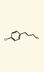 CCc1ccc(CCCC(C)C)cc1